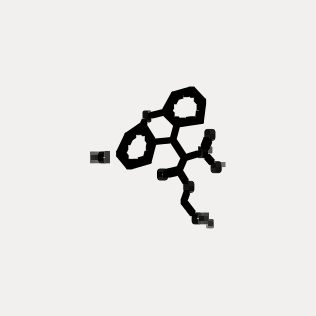 CCOC(=O)C(C1c2ccccc2Sc2ccccc21)[N+](=O)[O-].Cl